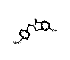 COc1ccc(CN2Cc3cc(O)ccc3C2=O)cc1